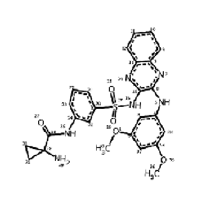 COc1cc(Nc2nc3ccccc3nc2NS(=O)(=O)c2cccc(NC(=O)C3(N)CC3)c2)cc(OC)c1